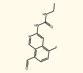 CCNC(=O)Nc1cc2c(F)ccc(C=O)c2cn1